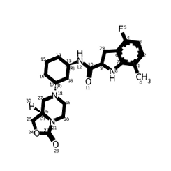 Cc1ccc(F)c2c1NC(C(=O)N[C@@H]1CCC[C@@H](N3CCN4C(=O)OC[C@@H]4C3)C1)C2